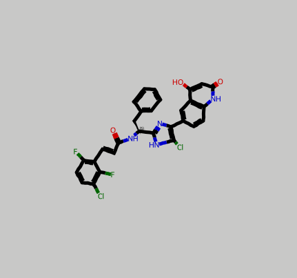 O=C(C=Cc1c(F)ccc(Cl)c1F)N[C@@H](Cc1ccccc1)c1nc(-c2ccc3[nH]c(=O)cc(O)c3c2)c(Cl)[nH]1